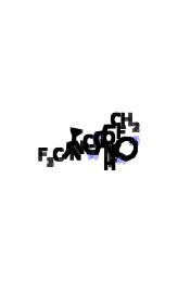 C=CCC/C=C\C(/C=C\C(C)n1nc(CC(F)(F)F)cc1C1CC1)C(=O)NC1=CC(F)/C=C\CC/C=C\1F